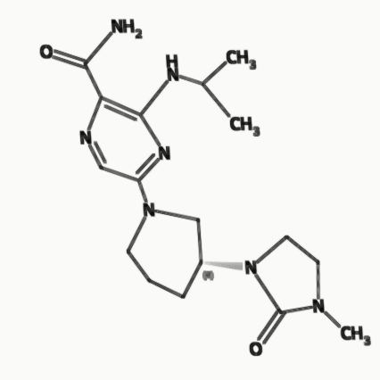 CC(C)Nc1nc(N2CCC[C@@H](N3CCN(C)C3=O)C2)cnc1C(N)=O